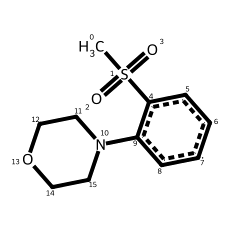 CS(=O)(=O)c1cc[c]cc1N1CCOCC1